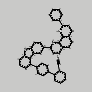 N#Cc1ccccc1-c1ccc(-c2cccc3sc4ccc(-c5ccc6ccc7ccc(-c8ccccc8)nc7c6n5)cc4c23)cc1